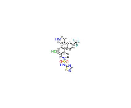 Cl.O=S(=O)(Nc1ncns1)N1CCc2c(cccc2-c2ccc(C(F)(F)F)cc2C2=CCNCC2)C1